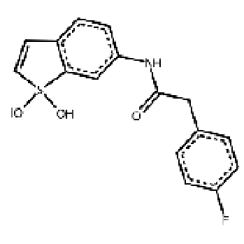 O=C(Cc1ccc(F)cc1)Nc1ccc2c(c1)S(O)(O)C=C2